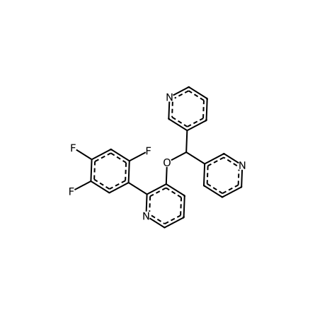 Fc1cc(F)c(-c2ncccc2OC(c2cccnc2)c2cccnc2)cc1F